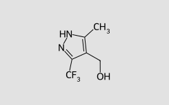 Cc1[nH]nc(C(F)(F)F)c1CO